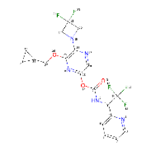 O=C(N[C@@H](c1ccccn1)C(F)(F)F)Oc1cnc(N2CC(F)(F)C2)c(OCC2CC2)n1